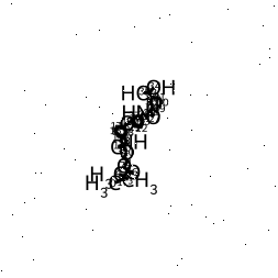 CCC(C)(C)C(=O)OCCOC(=O)Nc1cccc(Oc2cccc(NC(=O)N3CCCC(C(O)O)C3)c2)c1